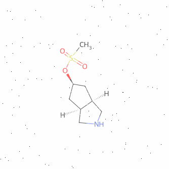 CS(=O)(=O)O[C@H]1C[C@H]2CNC[C@H]2C1